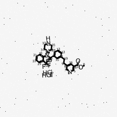 COC(=O)c1cncc(CCc2cccc(C(=O)N(c3ccccc3C(F)(F)F)N3CCNCC3)c2)c1.Cl.Cl